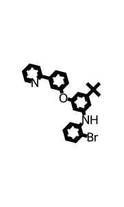 CC(C)(C)c1cc(Nc2ccccc2Br)cc(Oc2cccc(-c3ccccn3)c2)c1